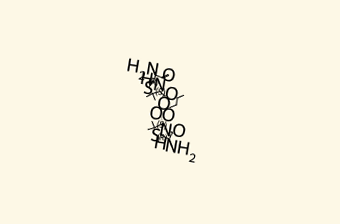 CCCC(OC(=O)[C@@H]1N2C(=O)C(N)[C@H]2SC1(C)C)OC(=O)[C@@H]1N2C(=O)C(N)[C@H]2SC1(C)C